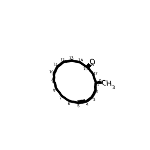 CC1CC/C=C\CCCCCCCCCC(=O)C1